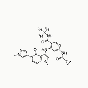 [2H]C([2H])([2H])NC(=O)c1cnc(NC(=O)C2CC2)cc1Nc1cn(C)c2ccn(-c3cnn(C)c3)c(=O)c12